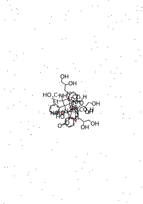 CCC(NC(=O)O)(c1c(O)c(=O)ccn1CC(O)CO)N(C(=O)O)C(c1ccccc1)(C(CC)(NC(=O)O)c1c(O)c(=O)ccn1CC(O)CO)C(CC)(NC(=O)O)c1c(O)c(=O)ccn1CC(O)CO